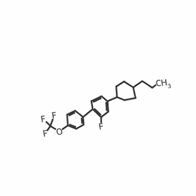 CCCC1CCC(c2ccc(-c3ccc(OC(F)(F)F)cc3)c(F)c2)CC1